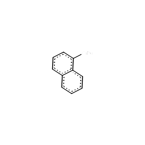 CC(C)COc1cccc2ccccc12